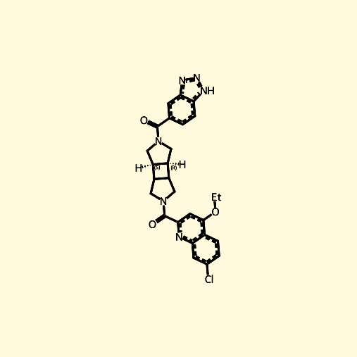 CCOc1cc(C(=O)N2CC3C(C2)[C@@H]2CN(C(=O)c4ccc5[nH]nnc5c4)C[C@H]32)nc2cc(Cl)ccc12